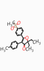 CCC1(CC)OC(c2ccc(S(C)(=O)=O)cc2)=C(c2ccc(C)cc2)C1=O